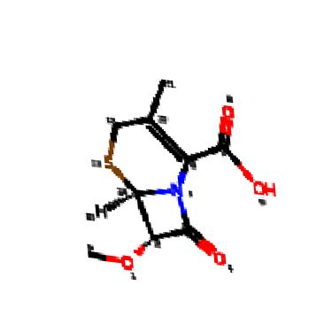 CO[C@H]1C(=O)N2C(C(=O)O)=C(C)CS[C@H]12